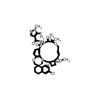 CO[C@@H]1/C=C/COC(C)(C)C(=O)N=[S@](=O)(NC(=O)c2cnn(C)c2C)c2ccc3c(c2)N(C[C@@H]2CC[C@H]21)C[C@@]1(CCCc2cc(Cl)ccc21)CO3